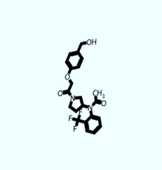 CC(=O)N(c1ccccc1C(F)(F)F)C1CCN(C(=O)COc2ccc(CO)cc2)C1